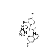 C[C@@H](n1ncc2cc(F)ccc21)[C@](O)(Cn1cncn1)c1ccc(F)cc1F